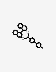 Cc1ccc(-c2ccc(C3COc4cc(c5ccccc5c4)-c4c(ccc5ccccc45)OC3)cc2)cc1